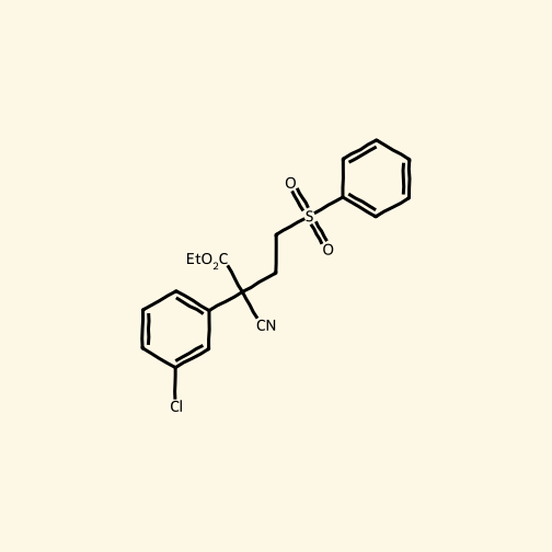 CCOC(=O)C(C#N)(CCS(=O)(=O)c1ccccc1)c1cccc(Cl)c1